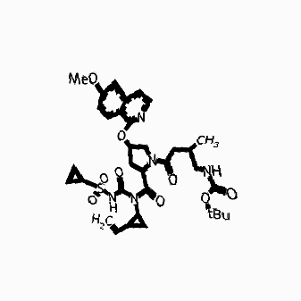 C=CC1CC1N(C(=O)NS(=O)(=O)C1CC1)C(=O)C1CC(Oc2nccc3cc(OC)ccc23)CN1C(=O)CC(C)CNC(=O)OC(C)(C)C